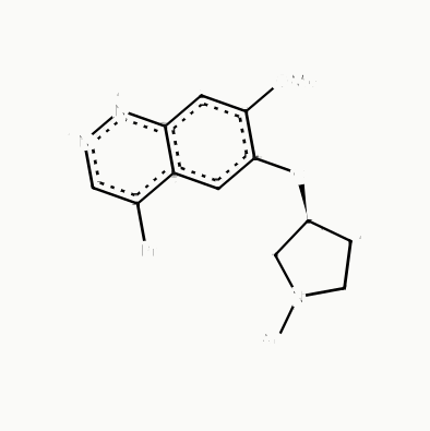 COc1cc2nncc(Br)c2cc1O[C@H]1CCN(C(C)=O)C1